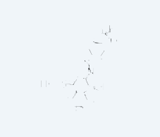 CCS(=O)(=O)c1ccc(/N=N/c2cc(S(=O)(=O)O)c3ccccc3c2O)cc1